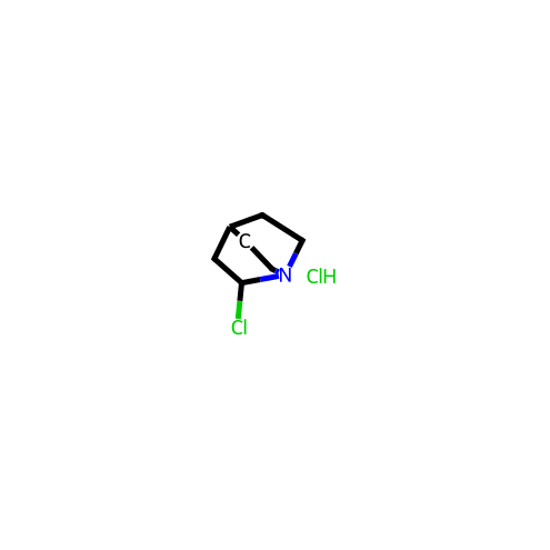 Cl.ClC1CC2CCN1CC2